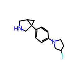 FC1CCN(c2ccc(C34CNCC3C4)cc2)C1